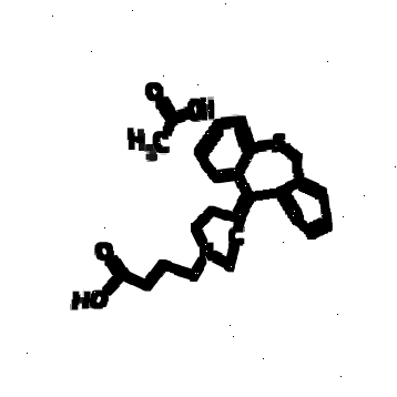 CC(=O)O.O=C(O)CCCN1CCC(=C2c3ccccc3CSc3ccccc32)CC1